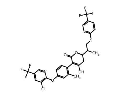 Cc1cc(Oc2ncc(C(F)(F)F)cc2Cl)ccc1C1=C(O)CC(C(C)CSc2ccc(C(F)(F)F)cn2)OC1=O